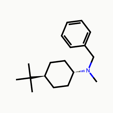 CN(Cc1ccccc1)[C@H]1CC[C@H](C(C)(C)C)CC1